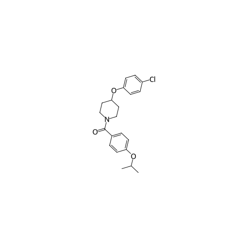 CC(C)Oc1ccc(C(=O)N2CCC(Oc3ccc(Cl)cc3)CC2)cc1